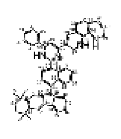 CC1(C)CCC(C)(C)c2cc3c(cc21)c1ccccc1n3-c1ccc(C2=NC(C3=Cc4ccc5c(c4NC3)NCC=C5)=CC(c3ccccc3)N2)c2ccccc12